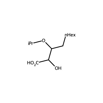 [CH2]CCCCCCC(OC(C)C)C(O)C(=O)O